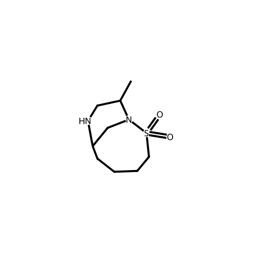 CC1CNC2CCCCS(=O)(=O)N1C2